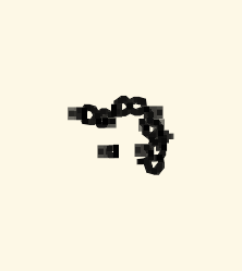 Cc1cccc(C)c1Nc1nn(C)c2nc(Nc3ccc4c(c3)CN(CCC3(O)CCNCC3)CC4)ncc12.Cl